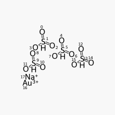 O=[SH](=O)[O-].O=[SH](=O)[O-].O=[SH](=O)[O-].O=[SH](=O)[O-].[Au+3].[Na+]